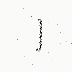 CC(C)CCCOCCOCCOCCOCCOCCCN